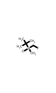 CC(C)(C)[Si](C)(Cl)CF